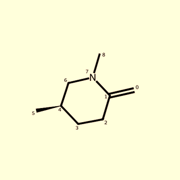 C=C1CC[C@@H](C)CN1C